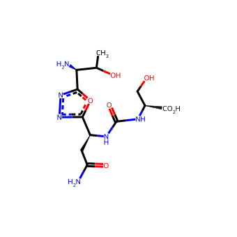 CC(O)[C@H](N)c1nnc([C@H](CC(N)=O)NC(=O)N[C@@H](CO)C(=O)O)o1